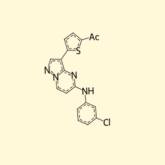 CC(=O)c1ccc(-c2cnn3ccc(Nc4cccc(Cl)c4)nc23)s1